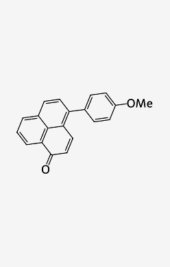 COc1ccc(-c2ccc3cccc4c3c2C=CC4=O)cc1